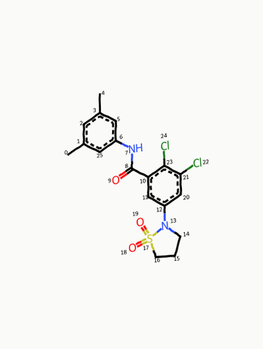 Cc1cc(C)cc(NC(=O)c2cc(N3CCCS3(=O)=O)cc(Cl)c2Cl)c1